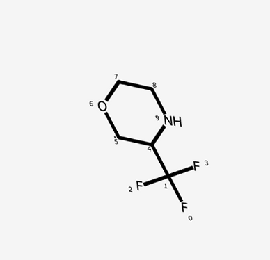 FC(F)(F)C1[CH]OCCN1